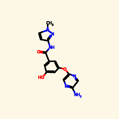 Cn1ccc(NC(=O)c2cc(O)cc(Oc3cnc(N)cn3)c2)n1